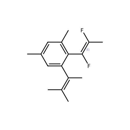 CC(C)=C(C)c1cc(C)cc(C)c1/C(F)=C(/C)F